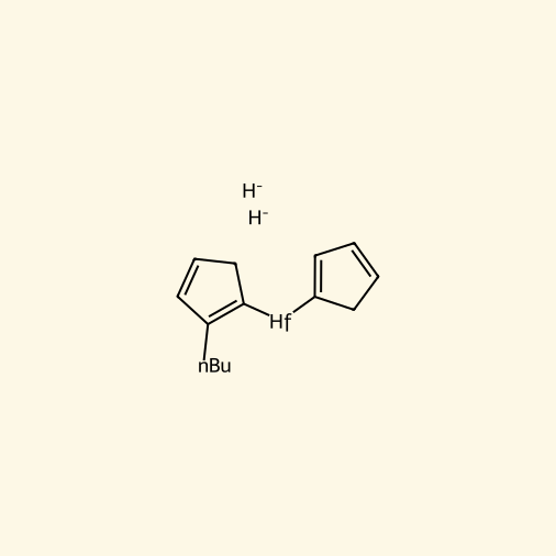 CCCCC1=[C]([Hf][C]2=CC=CC2)CC=C1.[H-].[H-]